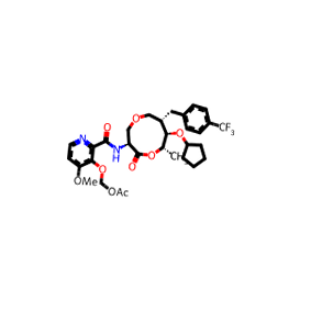 COc1ccnc(C(=O)N[C@H]2COC[C@H](Cc3ccc(C(F)(F)F)cc3)[C@@H](OC3CCCC3)[C@H](C)OC2=O)c1OCOC(C)=O